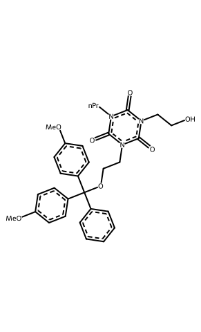 CCCn1c(=O)n(CCO)c(=O)n(CCOC(c2ccccc2)(c2ccc(OC)cc2)c2ccc(OC)cc2)c1=O